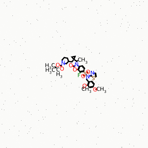 COc1ccc(CN(c2nccs2)S(=O)(=O)c2ccc3c(oc(=O)n3C(C)C3(CC4CCCN(C(=O)OC(C)(C)C)C4)CC3)c2F)c(OC)c1